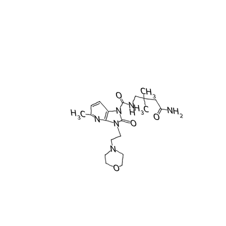 Cc1ccc2c(n1)n(CCN1CCOCC1)c(=O)n2C(=O)NCC(C)(C)CC(N)=O